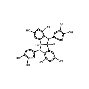 Oc1cc(O)c2c(c1)[C@H]1[C@H](c3ccc(O)c(O)c3)c3c(O)cc(O)cc3[C@H]1[C@@H]2c1ccc(O)c(O)c1